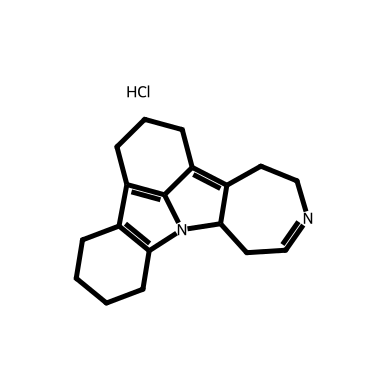 C1=NCCC2=C3CCCc4c5c(n(c43)C2C1)CCCC5.Cl